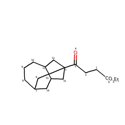 CCOC(=O)CCC(=O)C12CC3CCCC(C1)C(C3)C2